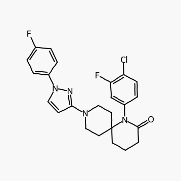 O=C1CCCC2(CCN(c3ccn(-c4ccc(F)cc4)n3)CC2)N1c1ccc(Cl)c(F)c1